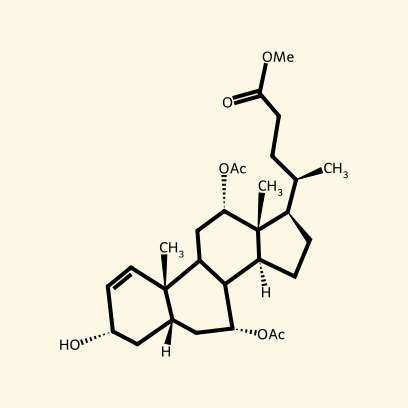 COC(=O)CC[C@@H](C)[C@H]1CC[C@H]2C3C(C[C@H](OC(C)=O)[C@]12C)[C@@]1(C)C=C[C@@H](O)C[C@H]1C[C@H]3OC(C)=O